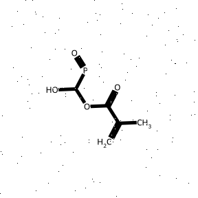 C=C(C)C(=O)OC(O)P=O